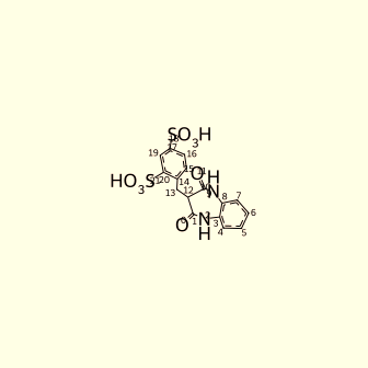 O=C1Nc2ccccc2NC(=O)C1Cc1ccc(S(=O)(=O)O)cc1S(=O)(=O)O